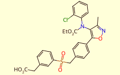 CCOC(=O)N(c1ccccc1Cl)c1c(C)noc1-c1ccc(CS(=O)(=O)c2cccc(CC(=O)O)c2)cc1